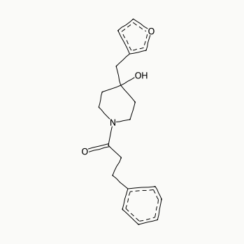 O=C(CCc1ccccc1)N1CCC(O)(Cc2ccoc2)CC1